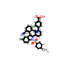 CC1CCC(S(=O)(=O)n2c(-c3cccc(-c4ccc(C(=O)O)cc4F)c3)c(-c3c(C#N)cccc3C#N)c3cc(F)ccc32)CC1